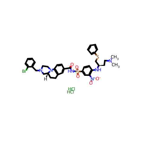 CN(C)CC[C@H](CSc1ccccc1)Nc1ccc(S(=O)(=O)NC(=O)c2ccc3c(c2)CC[C@@H]2CN(Cc4ccccc4Br)CCN32)cc1[N+](=O)[O-].Cl.Cl